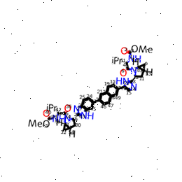 COC(=O)N[C@H](C(=O)N1[C@@H]2C[C@@H]2C[C@H]1c1ncc(-c2ccc3cc(-c4ccc5nc([C@@H]6C[C@H]7C[C@H]7N6C(=O)[C@@H](NC(=O)OC)C(C)C)[nH]c5c4)ccc3c2)[nH]1)C(C)C